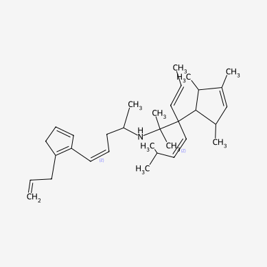 C=CCC1=C(/C=C\CC(C)NC(C)(C)C(C=CC)(/C=C\C(C)C)C2C(C)C=C(C)C2C)C=CC1